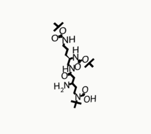 CC(C)(C)OC(=O)NCCC[C@H](CNC(=O)CC(N)CCN(C(=O)O)C(C)(C)C)NC(=O)OC(C)(C)C